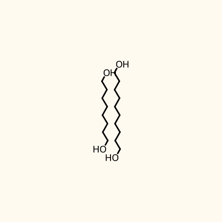 OCCCCCCCCCCO.OCCCCCCCCO